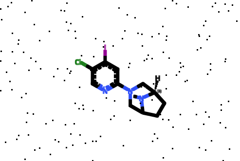 CN1C2CC[C@@H]1CN(c1cc(I)c(Cl)cn1)C2